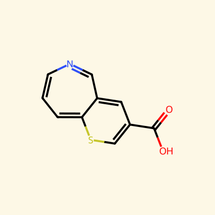 O=C(O)C1=CSC2=CC=CN=CC2=C1